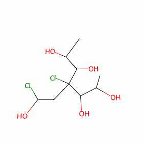 CC(O)C(O)C(Cl)(CC(O)Cl)C(O)C(C)O